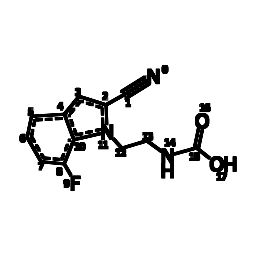 N#Cc1cc2cccc(F)c2n1CCNC(=O)O